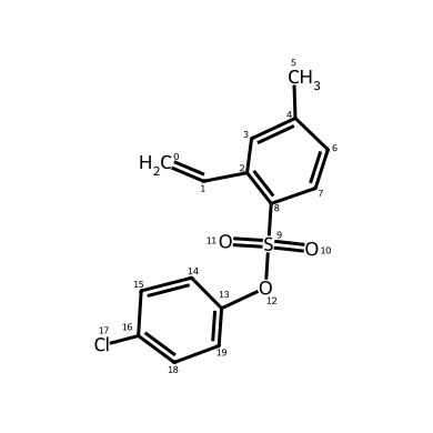 C=Cc1cc(C)ccc1S(=O)(=O)Oc1ccc(Cl)cc1